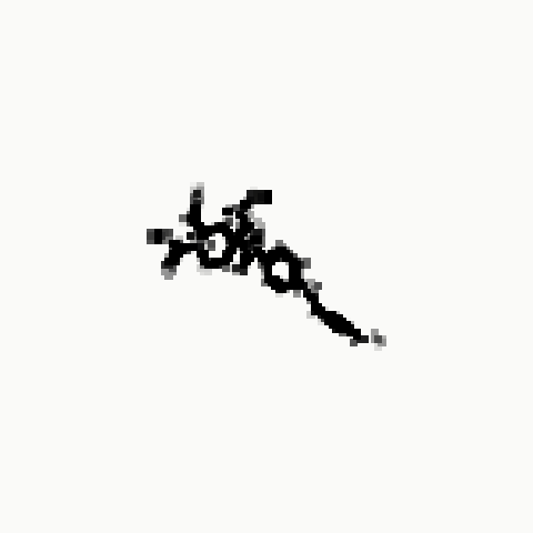 CC#CCOc1ccc(S(=O)(=O)C2(C(=O)NO)CCN(C(=O)O)C(C=O)C2)cc1